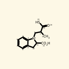 CC(CN1c2ccccc2CC1C(=O)O)C(=O)S